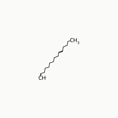 [CH]=CCCCCCCCC=CCCCC